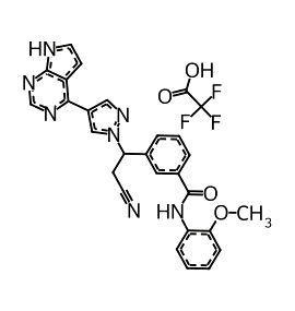 COc1ccccc1NC(=O)c1cccc(C(CC#N)n2cc(-c3ncnc4[nH]ccc34)cn2)c1.O=C(O)C(F)(F)F